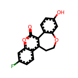 O=c1oc2cc(F)ccc2c2c1-c1ccc(O)cc1OCC2